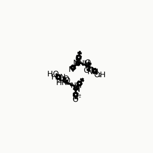 CC(=O)N(CCCNc1cc(-c2ccncc2)nn1-c1ccc(C(C)(C)C)cc1)[C@@H](Cc1ccc(O)cc1)C(N)=O.CC(C)(C)c1ccc(-n2nc(-c3cc[n+]([O-])cc3)cc2NCCCC(=O)N[C@@H](Cc2ccc(O)cc2)C(N)=O)cc1